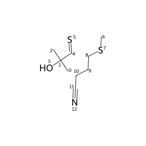 CC(C)(O)C=S.CSCCCC#N